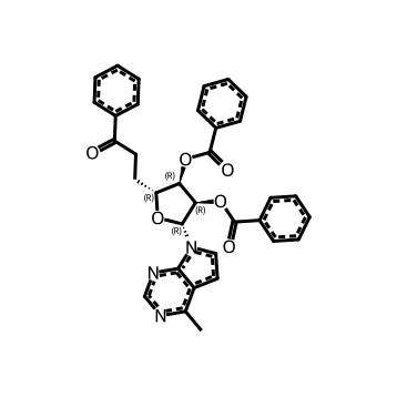 Cc1ncnc2c1ccn2[C@@H]1O[C@H](CCC(=O)c2ccccc2)[C@@H](OC(=O)c2ccccc2)[C@H]1OC(=O)c1ccccc1